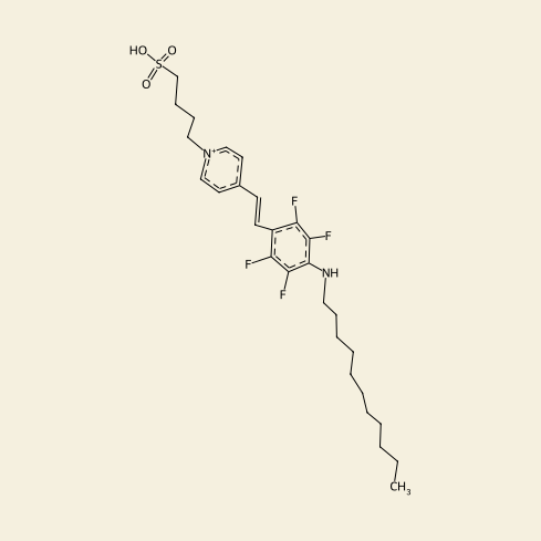 CCCCCCCCCCCNc1c(F)c(F)c(C=Cc2cc[n+](CCCCS(=O)(=O)O)cc2)c(F)c1F